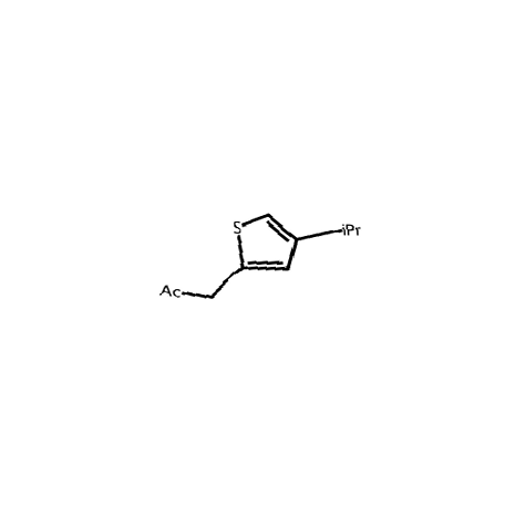 CC(=O)Cc1cc(C(C)C)cs1